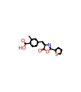 Cc1cc(C=C2N=C(c3cccs3)OC2=O)ccc1C(=O)O